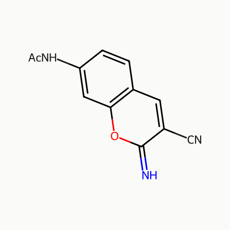 CC(=O)Nc1ccc2cc(C#N)c(=N)oc2c1